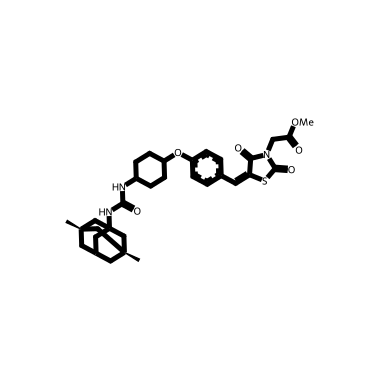 COC(=O)CN1C(=O)S/C(=C/c2ccc(OC3CCC(NC(=O)NC45CC6C[C@@](C)(C4)C[C@](C)(C6)C5)CC3)cc2)C1=O